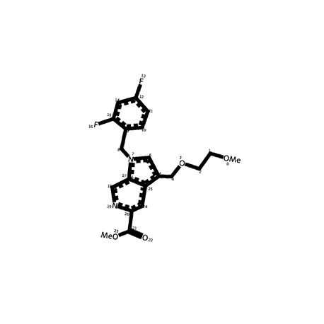 COCCOCc1cn(Cc2ccc(F)cc2F)c2cnc(C(=O)OC)cc12